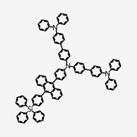 c1ccc(N(c2ccccc2)c2ccc(-c3ccc(N(c4ccc(-c5ccc(N(c6ccccc6)c6ccccc6)cc5)cc4)c4ccc(-c5c6ccccc6c(-c6ccc([Si](c7ccccc7)(c7ccccc7)c7ccccc7)cc6)c6ccccc56)cc4)cc3)cc2)cc1